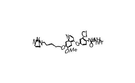 CCCNC(=O)Nc1ccc(Oc2ccnc3cc(OCCCCCn4ccnn4)c(OC)cc23)cc1Cl